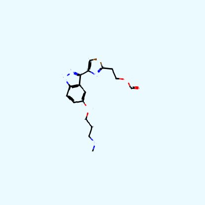 CNCCCOc1ccc2[nH]nc(-c3csc(CCOC=O)n3)c2c1